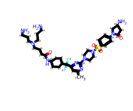 Cc1cc(C(F)(F)C2CCC(NC(=O)CCCN(CCCN)CCCN)CC2)nc(N2CCN(S(=O)(=O)c3ccc(N4C[C@H](N)CC4=O)cc3)CC2)n1